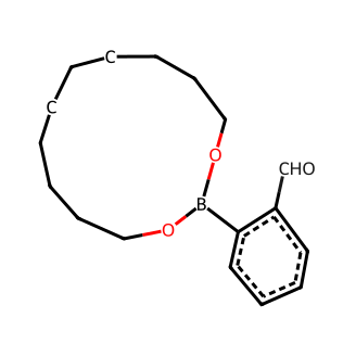 O=Cc1ccccc1B1OCCCCCCCCCCO1